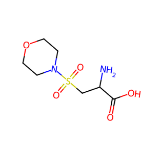 NC(CS(=O)(=O)N1CCOCC1)C(=O)O